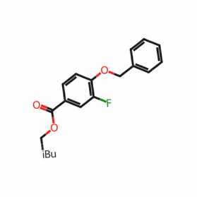 CCC(C)COC(=O)c1ccc(OCc2ccccc2)c(F)c1